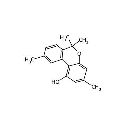 Cc1cc(O)c2c(c1)OC(C)(C)c1ccc(C)cc1-2